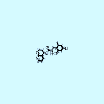 Cc1cc(Cl)cc(Cl)c1CNC(=O)O[C@@H]1CCOc2ncccc21